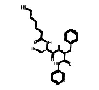 CC(C)C[C@H](NC(=O)CCCCCS)C(=O)N[C@@H](Cc1ccccc1)C(=O)Nc1cccnc1